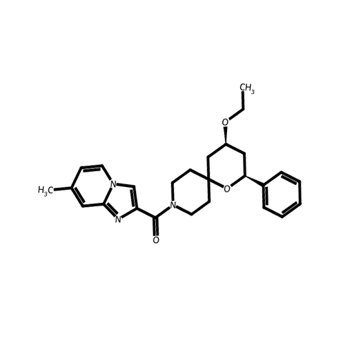 CCO[C@H]1C[C@@H](c2ccccc2)OC2(CCN(C(=O)c3cn4ccc(C)cc4n3)CC2)C1